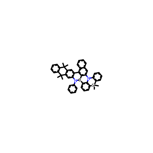 CC1(C)c2ccccc2C(C)(C)c2cc3c(cc21)-c1c2c(cc4ccccc14)N1c4ccccc4[Si](C)(C)c4cccc(c41)B2N3c1ccccc1